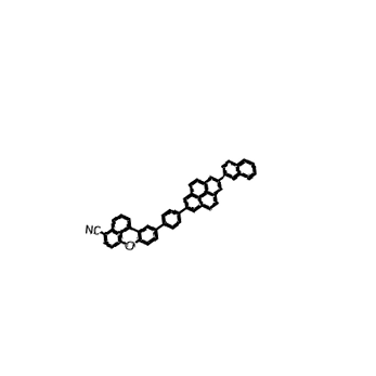 N#Cc1ccc2c3c(cccc13)-c1cc(-c3ccc(-c4cc5ccc6cc(-c7ccc8ccccc8c7)cc7ccc(c4)c5c67)cc3)ccc1O2